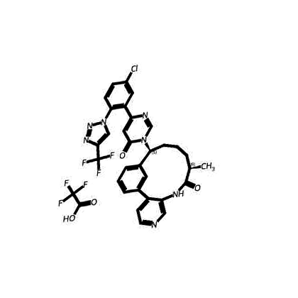 C[C@@H]1CCC[C@H](n2cnc(-c3cc(Cl)ccc3-n3cc(C(F)(F)F)nn3)cc2=O)c2cccc(c2)-c2ccncc2NC1=O.O=C(O)C(F)(F)F